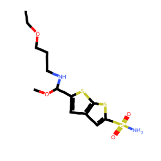 CCOCCCNC(OC)c1cc2cc(S(N)(=O)=O)sc2s1